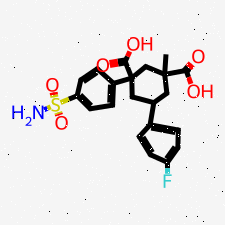 CC1(C(=O)O)CC(c2ccc(F)cc2)CC(C(=O)O)(c2ccc(S(N)(=O)=O)cc2)C1